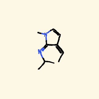 C/C=C1/C=CN(C)/C1=N/C(C)C